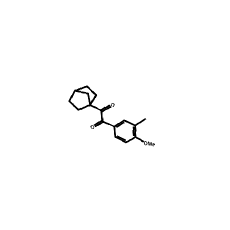 COc1ccc(C(=O)C(=O)C23CCC(CC2)C3)cc1C